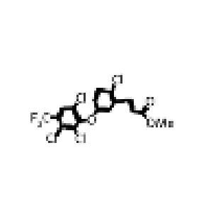 COC(=O)C=Cc1cc(Oc2c(Cl)cc(C(F)(F)F)c(Cl)c2Cl)ccc1Cl